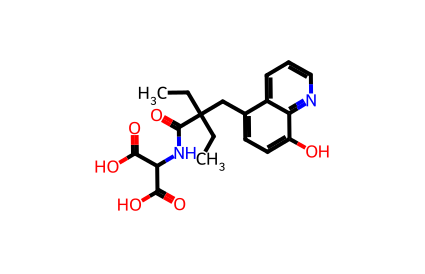 CCC(CC)(Cc1ccc(O)c2ncccc12)C(=O)NC(C(=O)O)C(=O)O